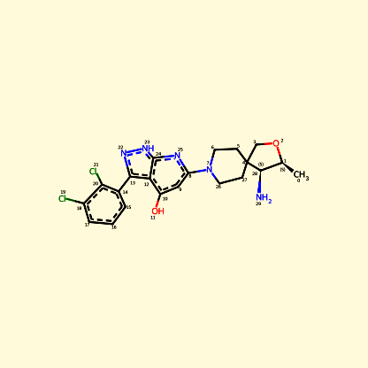 C[C@@H]1OCC2(CCN(c3cc(O)c4c(-c5cccc(Cl)c5Cl)n[nH]c4n3)CC2)[C@@H]1N